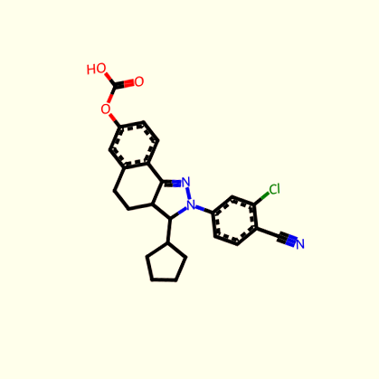 N#Cc1ccc(N2N=C3c4ccc(OC(=O)O)cc4CCC3C2C2CCCC2)cc1Cl